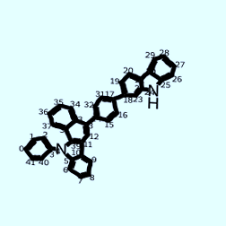 c1ccc(-n2c3ccccc3c3cc(-c4ccc(-c5ccc6c(c5)[nH]c5ccccc56)cc4)c4ccccc4c32)cc1